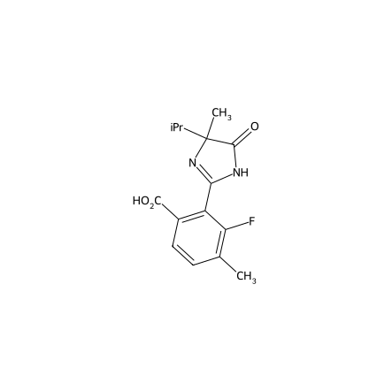 Cc1ccc(C(=O)O)c(C2=NC(C)(C(C)C)C(=O)N2)c1F